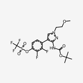 COCCn1cc(-c2ccc(OS(=O)(=O)C(F)(F)F)c(F)c2F)c(NC(=O)OC(C)(C)C)n1